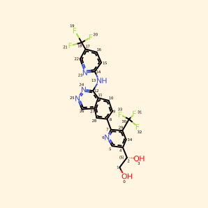 OC[C@@H](O)c1cnc(-c2ccc3c(Nc4ccc(C(F)(F)F)cn4)nncc3c2)c(C(F)(F)F)c1